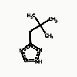 CC(C)(C)Cc1nc[nH]n1